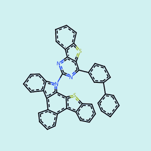 c1ccc(-c2cccc(-c3nc(-n4c5ccccc5c5c6ccccc6c6c7ccccc7sc6c54)nc4c3sc3ccccc34)c2)cc1